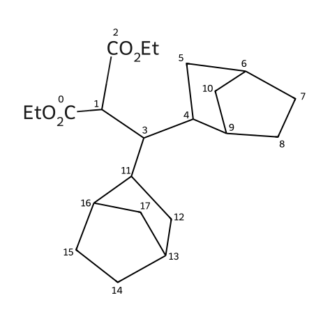 CCOC(=O)C(C(=O)OCC)C(C1CC2CCC1C2)C1CC2CCC1C2